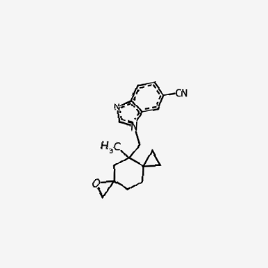 CC1(Cn2cnc3ccc(C#N)cc32)CC2(CCC13CC3)CO2